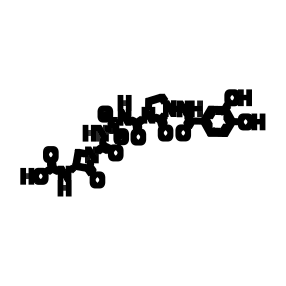 O=C(O)N[C@H]1CN(C(=O)NS(=O)(=O)NC(=O)N2CCN(NC(=O)c3ccc(O)c(O)c3)C2=O)C1=O